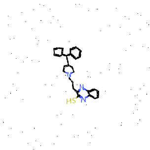 Sc1nc2ccccc2nc1CCCN1CCC(C(c2ccccc2)c2ccccc2)CC1